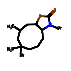 BC1(C(C)C)CCCC2C(CC(C)C1)SC(=S)N2C(C)C